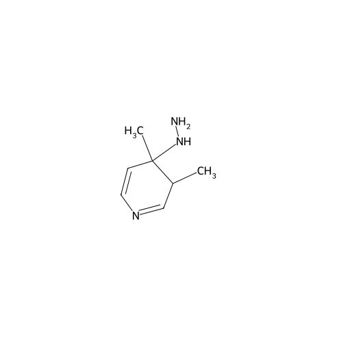 CC1C=NC=CC1(C)NN